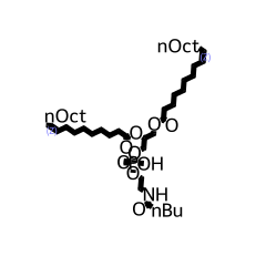 CCCCCCCC/C=C\CCCCCCCC(=O)OCC(COP(=O)(O)OCCNC(=O)CCCC)OC(=O)CCCCCCC/C=C\CCCCCCCC